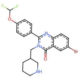 O=c1c2cc(Br)ccc2nc(-c2ccc(OC(F)F)cc2)n1CC1CCCNC1